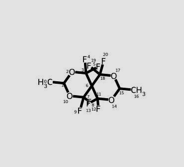 CC1OC(F)(F)C2(C(F)(F)O1)C(F)(F)OC(C)OC2(F)F